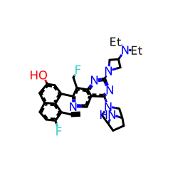 C#Cc1c(F)ccc2cc(O)cc(-c3ncc4c(N5CC6CCC(C5)N6)nc(N5CC(N(CC)CC)C5)nc4c3CF)c12